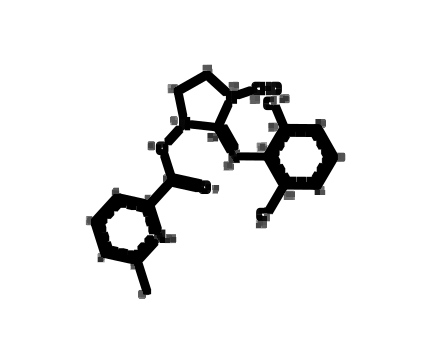 Cc1cccc(C(=O)ON2CCN(C=O)C2=Nc2c(Cl)cccc2Cl)n1